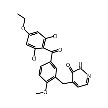 CCOc1cc(Cl)c(C(=O)c2ccc(OC)c(Cc3ccn[nH]c3=O)c2)c(Cl)c1